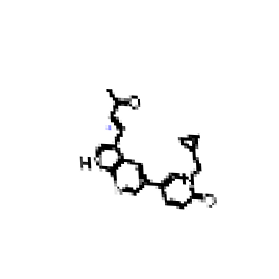 CC(=O)/C=C/c1c[nH]c2ncc(-c3ccc(=O)n(CC4CC4)c3)cc12